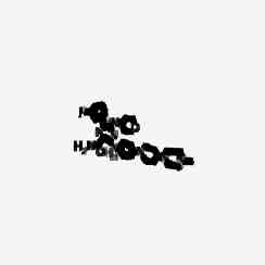 CN1CCN(C2CCN(c3ccc(Nc4nc(NC5CCOCC5)c(-c5cccc(F)c5)nc4C(N)O)cc3)CC2)CC1